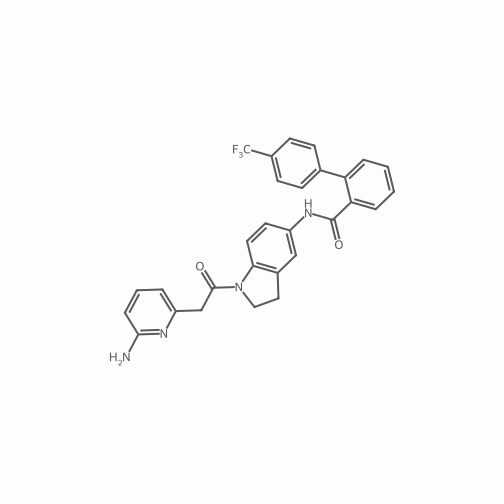 Nc1cccc(CC(=O)N2CCc3cc(NC(=O)c4ccccc4-c4ccc(C(F)(F)F)cc4)ccc32)n1